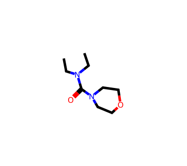 CCN(CC)C(=O)N1CCOCC1